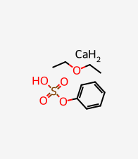 CCOCC.O=S(=O)(O)Oc1ccccc1.[CaH2]